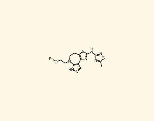 CCOCCN1CCc2sc(Nc3nsc(C)n3)nc2-c2cn[nH]c21